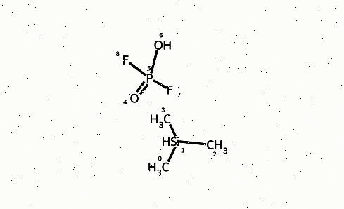 C[SiH](C)C.O=P(O)(F)F